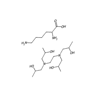 CC(O)CN(CCN(CC(C)O)CC(C)O)CC(C)O.NCCCCC(N)C(=O)O